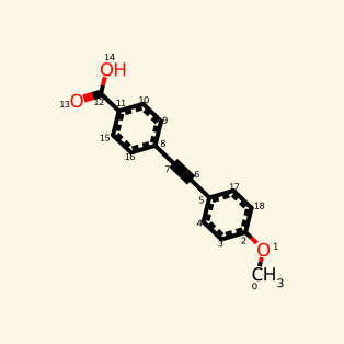 COc1ccc(C#Cc2ccc(C(=O)O)cc2)cc1